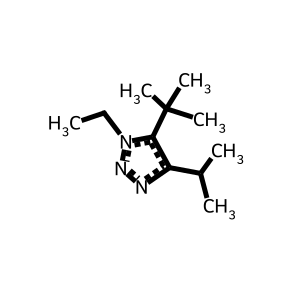 CCn1nnc(C(C)C)c1C(C)(C)C